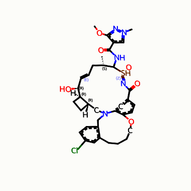 COc1nn(C)cc1C(=O)NC1[C@@H](C)C/C=C/[C@H](O)[C@@H]2CC[C@H]2CN2Cc3ccc(Cl)cc3CCCCOc3ccc(cc32)C(=O)/N=[SH]/1=O